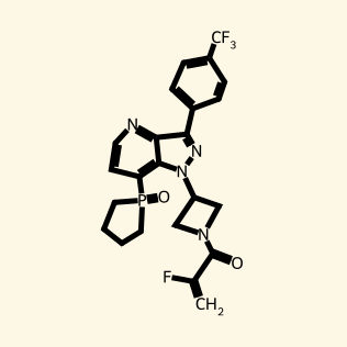 C=C(F)C(=O)N1CC(n2nc(-c3ccc(C(F)(F)F)cc3)c3nccc(P4(=O)CCCC4)c32)C1